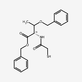 CC(OCc1ccccc1)[C@H](NC(=O)CS)C(=O)OCc1ccccc1